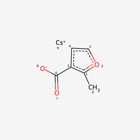 Cc1occc1C(=O)[O-].[Cs+]